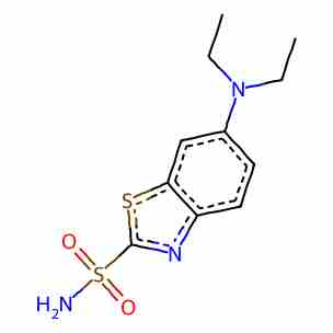 CCN(CC)c1ccc2nc(S(N)(=O)=O)sc2c1